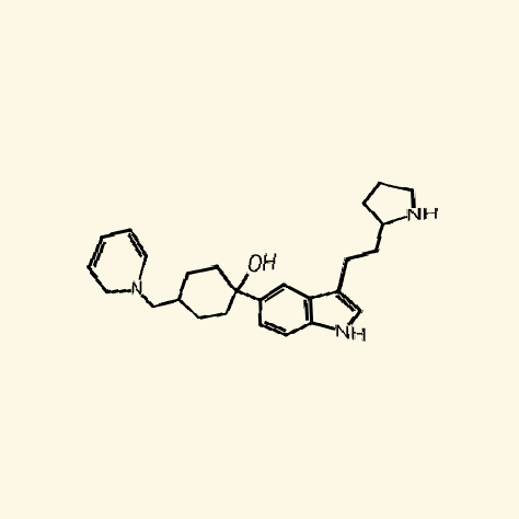 OC1(c2ccc3[nH]cc(CCC4CCCN4)c3c2)CCC(CN2C=CC=CC2)CC1